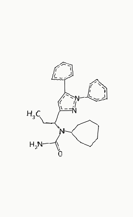 CCC(c1cc(-c2ccccc2)n(-c2ccccc2)n1)N(C(N)=O)C1CCCCCC1